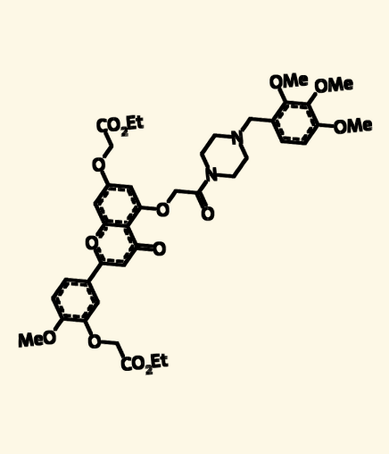 CCOC(=O)COc1cc(OCC(=O)N2CCN(Cc3ccc(OC)c(OC)c3OC)CC2)c2c(=O)cc(-c3ccc(OC)c(OCC(=O)OCC)c3)oc2c1